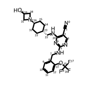 N#Cc1cnc(NCc2ccccc2OC(F)(F)F)nc1NC[C@H]1CC[C@H](N2CC(O)C2)CC1